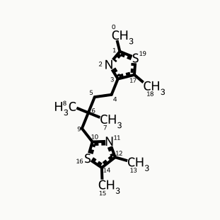 Cc1nc(CCC(C)(C)Cc2nc(C)c(C)s2)c(C)s1